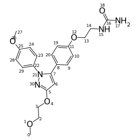 COCCOc1cc(-c2ccc(OCCNC(N)=O)cc2)n(-c2ccc(OC)cc2)n1